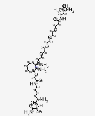 CC(C)C(NC(=O)C(N)CCCCNC(=O)COC1CCCCC/C(N(N)CCOCCOCCOCCOCCC(=O)NCC[N+](C)(C)C)=C\1N)C(N)=O